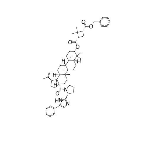 C=C(C)[C@@H]1CC[C@]2(C(=O)N3CCC[C@H]3c3ncc(-c4ccccc4)[nH]3)CC[C@]3(C)[C@H](CC[C@@H]4[C@@]5(C)CC[C@H](OC(=O)[C@H]6C[C@@H](C(=O)OCc7ccccc7)C6(C)C)C(C)(C)[C@@H]5CC[C@]43C)[C@@H]12